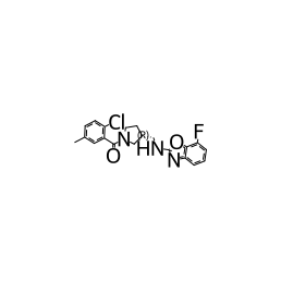 Cc1ccc(Cl)c(C(=O)N2CC[C@H](CNc3nc4cccc(F)c4o3)C2)c1